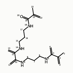 C=C(C)C(=C)NCCCNC(=C)C(=C)NCCCNC(=O)C(=C)C